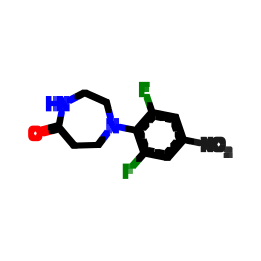 O=C1CCN(c2c(F)cc([N+](=O)[O-])cc2F)CCN1